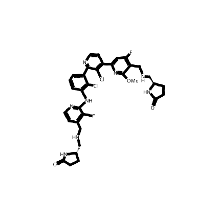 COc1nc(-c2ccnc(-c3cccc(Nc4nccc(CNC[C@@H]5CCC(=O)N5)c4F)c3Cl)c2Cl)cc(F)c1CNC[C@H]1CCC(=O)N1